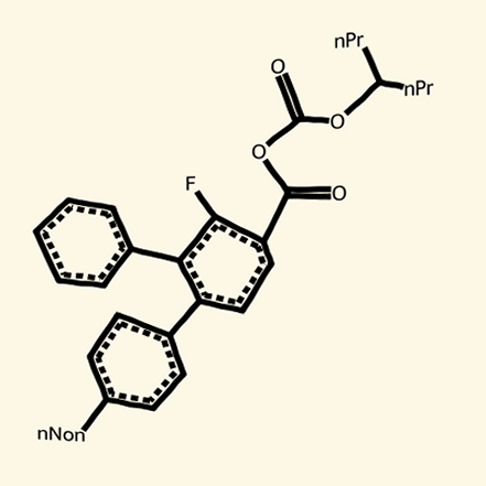 CCCCCCCCCc1ccc(-c2ccc(C(=O)OC(=O)OC(CCC)CCC)c(F)c2-c2ccccc2)cc1